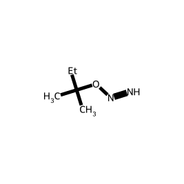 CCC(C)(C)ON=N